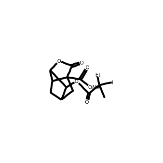 CCC(C)(I)C(=O)OC1C2CC3C1OC(=O)C3(C(=O)OC)C2